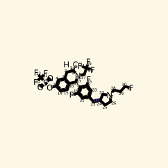 C[C@@H]1Cc2cc(OS(=O)(=O)C(F)(F)F)ccc2[C@@H](c2c(F)cc(/C=C3/CCN(CCCF)C3)cc2F)N1CC(F)(F)F